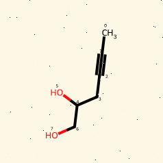 CC#CCC(O)CO